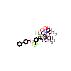 CC(C)(C)C1OC(C)(C)N(C(=O)O)C1(C)c1ncc(-c2ccc(OCc3ccc(-c4ccccc4)cc3)c(C(F)(F)F)c2)s1